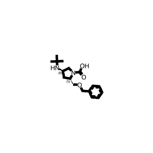 CC(C)(C)N[C@@H]1C[C@@H](COCc2ccccc2)N(C(=O)O)C1